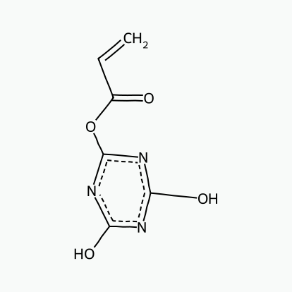 C=CC(=O)Oc1nc(O)nc(O)n1